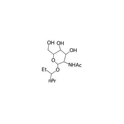 CCCC(CC)OC1OC(CO)C(O)C(O)C1NC(C)=O